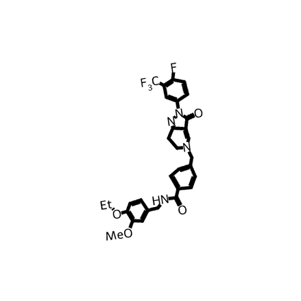 CCOc1ccc(CNC(=O)c2ccc(CN3C=C4C(=O)N(c5ccc(F)c(C(F)(F)F)c5)N=C4CC3)cc2)cc1OC